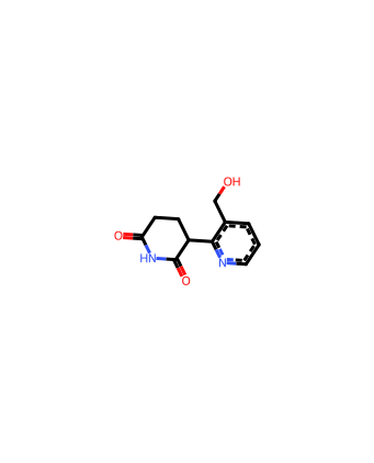 O=C1CCC(c2ncccc2CO)C(=O)N1